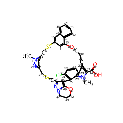 Cn1nc2cc1CSc1cc(c3ccccc3c1)OCCCc1c(C(=O)O)n(C)c3c(c(Cl)ccc13)-c1c(nn3c1OCCC3)CSC2